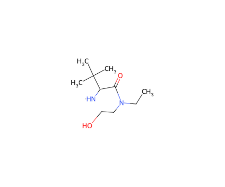 CCN(CCO)C(=O)C([NH])C(C)(C)C